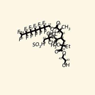 CCC(C)(CC(CC(C)(C)C(=O)OCC(F)(F)C(F)(F)C(F)(F)C(F)(F)C(F)(F)C(F)F)C(=O)NC(C)(C)CS(=O)(=O)O)C(=O)OCCO